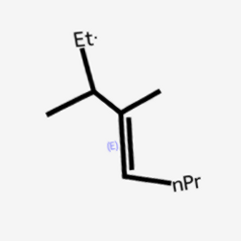 C[CH]C(C)/C(C)=C/CCC